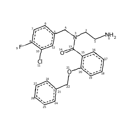 NCCN(Cc1ccc(F)c(Cl)c1)C(=O)c1ccccc1OCc1ccccc1